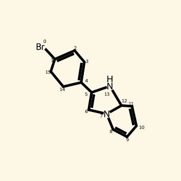 BrC1=CC=C(C2=CN3C=CC=CC3N2)CC1